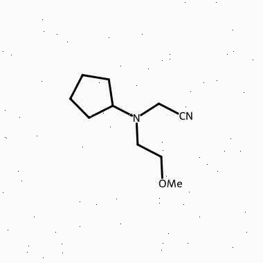 COCCN(CC#N)C1CCCC1